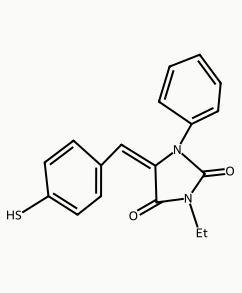 CCN1C(=O)/C(=C\c2ccc(S)cc2)N(c2ccccc2)C1=O